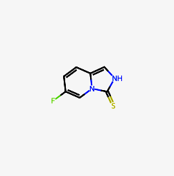 Fc1ccc2c[nH]c(=S)n2c1